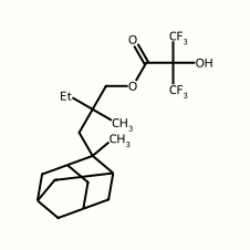 CCC(C)(COC(=O)C(O)(C(F)(F)F)C(F)(F)F)CC1(C)C2CC3CC(C2)CC1C3